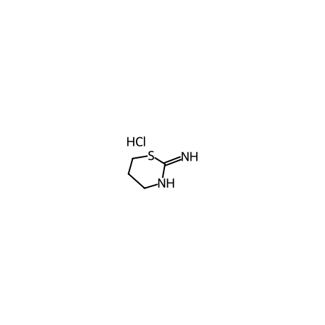 Cl.N=C1NCCCS1